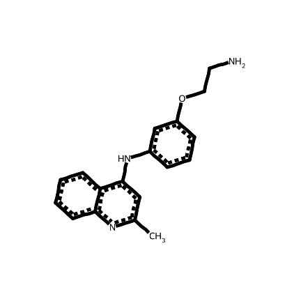 Cc1cc(Nc2cccc(OCCN)c2)c2ccccc2n1